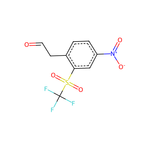 O=CCc1ccc([N+](=O)[O-])cc1S(=O)(=O)C(F)(F)F